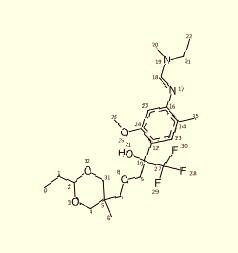 CCC1OCC(C)(COCC(O)(c2cc(C)c(N=CN(C)CC)cc2OC)C(F)(F)F)CO1